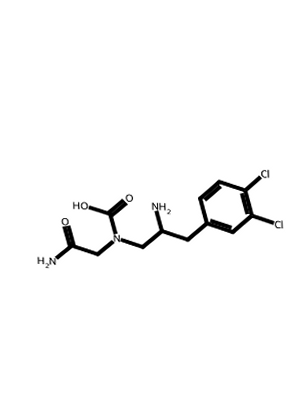 NC(=O)CN(CC(N)Cc1ccc(Cl)c(Cl)c1)C(=O)O